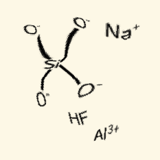 F.[Al+3].[Na+].[O-][Si]([O-])([O-])[O-]